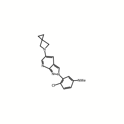 CNc1ccc(Cl)c(-n2cc3cc(N4CC5(CC5)C4)cnc3n2)c1